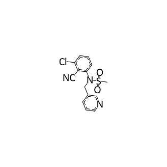 CS(=O)(=O)N(Cc1cccnc1)c1cccc(Cl)c1C#N